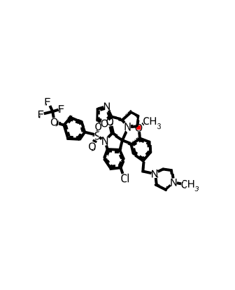 COc1ccc(CN2CCN(C)CC2)cc1C1(N2CCCC2c2ncco2)C(=O)N(S(=O)(=O)c2ccc(OC(F)(F)F)cc2)c2ccc(Cl)cc21